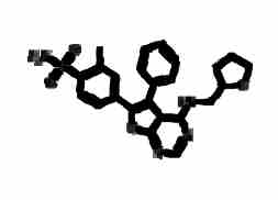 Cc1cc(-c2oc3ncnc(NCC4CCCO4)c3c2-c2ccccc2)ccc1S(N)(=O)=O